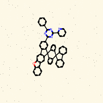 c1ccc(-c2nc(-c3ccc4c(c3)C3(c5cc6c(cc5-4)oc4ccccc46)c4ccccc4C4(c5ccccc5-c5ccccc54)c4ccccc43)nc(-c3ccccn3)n2)cc1